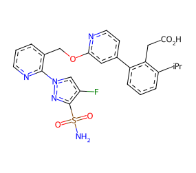 CC(C)c1cccc(-c2ccnc(OCc3cccnc3-n3cc(F)c(S(N)(=O)=O)n3)c2)c1CC(=O)O